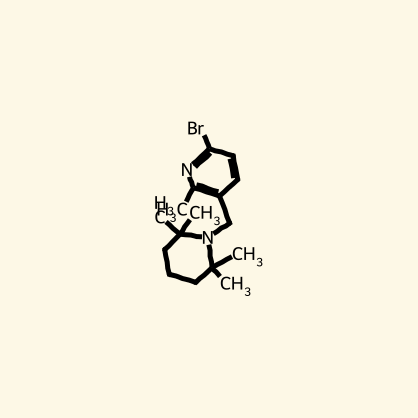 Cc1nc(Br)ccc1CN1C(C)(C)CCCC1(C)C